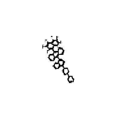 Fc1c(F)c(F)c2c(-c3c4ccccc4c(-c4ccc(-c5ccc(-c6ccccc6)cc5)c5ccccc45)c4ccccc34)c(F)c(F)c(F)c2c1F